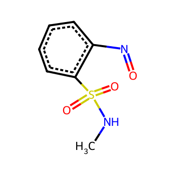 CNS(=O)(=O)c1ccccc1N=O